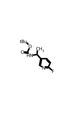 CC(NC(=O)OC(C)(C)C)c1ccc(F)nc1